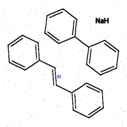 C(=C\c1ccccc1)/c1ccccc1.[NaH].c1ccc(-c2ccccc2)cc1